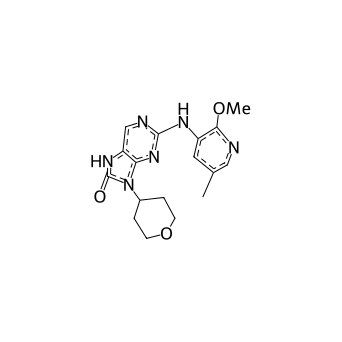 COc1ncc(C)cc1Nc1ncc2[nH]c(=O)n(C3CCOCC3)c2n1